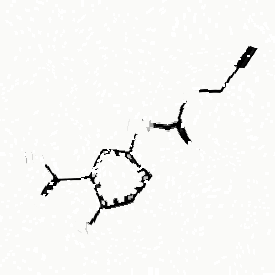 C#CCOC(=O)Nc1ccc(Cl)c(C(=O)O)c1